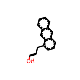 OC=CCc1cccc2cc3ccccc3cc12